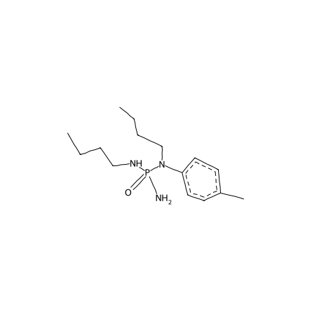 CCCCNP(N)(=O)N(CCCC)c1ccc(C)cc1